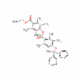 COCOC(=O)c1c(C)c(C)c(OC(=O)c2c(C)cc(O[Si](c3ccccc3)(c3ccccc3)C(C)(C)C)c(C)c2C)c(C=O)c1C